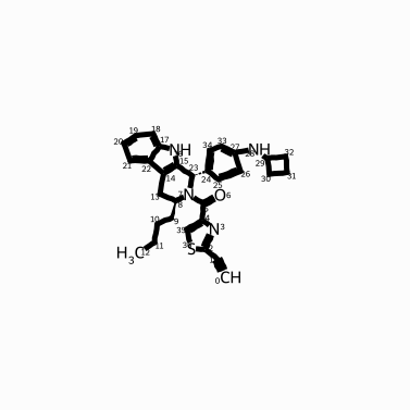 C#Cc1nc(C(=O)N2[C@@H](CCCC)Cc3c([nH]c4ccccc34)[C@@H]2c2ccc(NC3CCC3)cc2)cs1